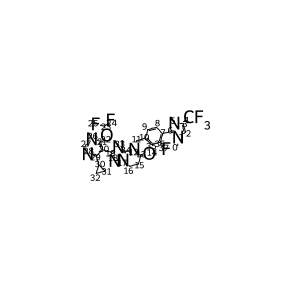 Cn1cc(C(F)(F)F)nc1-c1ccc(CN2C(=O)CCn3nc(-c4c(OC(F)F)ncnc4C4CC4)nc32)cc1F